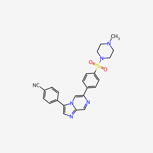 CN1CCN(S(=O)(=O)c2ccc(-c3cn4c(-c5ccc(C#N)cc5)cnc4cn3)cc2)CC1